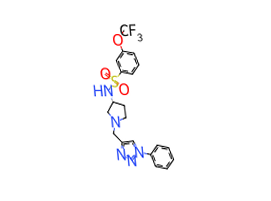 O=S(=O)(N[C@@H]1CCN(Cc2cn(-c3ccccc3)nn2)C1)c1cccc(OC(F)(F)F)c1